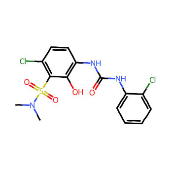 CN(C)S(=O)(=O)c1c(Cl)ccc(NC(=O)Nc2ccccc2Cl)c1O